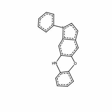 c1ccc(-n2ccc3cc4c(cc32)Nc2ccccc2O4)cc1